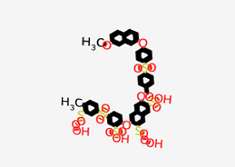 COc1ccc2ccc(Oc3ccc(S(=O)(=O)c4ccc(COc5cc6cc(Oc7ccc(S(=O)(=O)c8ccc(C)c(SOOO)c8)cc7S(=O)(=O)O)c(SOOO)cc6cc5S(=O)(=O)O)cc4)cc3)cc2c1